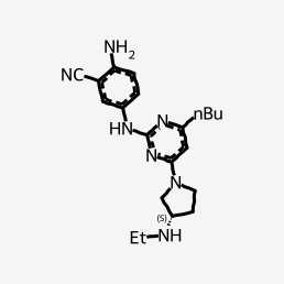 CCCCc1cc(N2CC[C@H](NCC)C2)nc(Nc2ccc(N)c(C#N)c2)n1